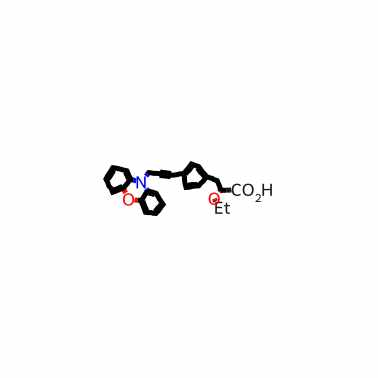 CCOC(Cc1ccc(C#CCN2c3ccccc3Oc3ccccc32)cc1)C(=O)O